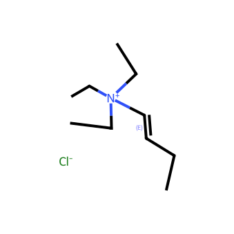 CC/C=C/[N+](CC)(CC)CC.[Cl-]